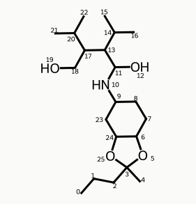 CCCC1(C)OC2CCC(NC(O)C(C(C)C)C(CO)C(C)C)CC2O1